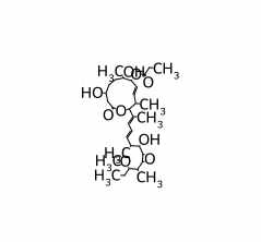 CCC(=O)OC1/C=C/C(C)C(/C(C)=C/C=C/C(C)C(O)C2OC2C(C)C(CC)OC)OC(=O)CC(O)CCC1(C)O